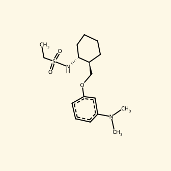 CCS(=O)(=O)N[C@@H]1CCCC[C@H]1COc1cccc(N(C)C)c1